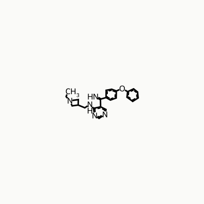 CCN1CC(CNc2ncncc2C(=N)c2ccc(Oc3ccccc3)cc2)C1